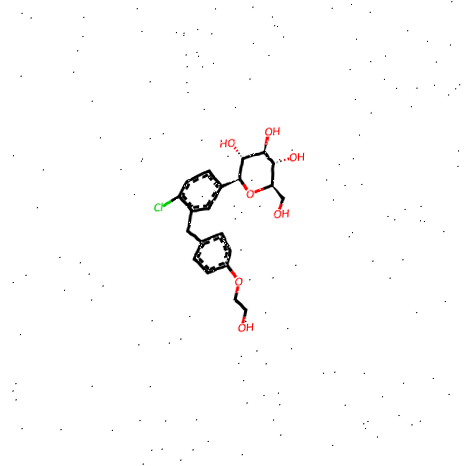 OCCOc1ccc(Cc2cc([C@@H]3O[C@H](CO)[C@@H](O)[C@H](O)[C@H]3O)ccc2Cl)cc1